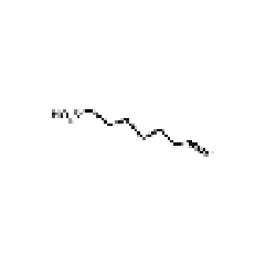 [CH]=CCCCCCCS(=O)(=O)O